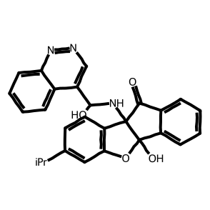 CC(C)c1ccc2c(c1)OC1(O)c3ccccc3C(=O)C21NC(O)c1cnnc2ccccc12